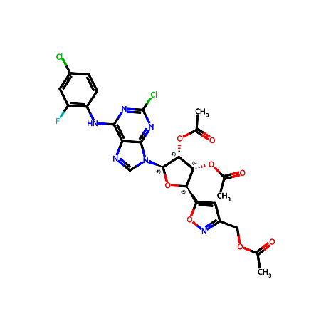 CC(=O)OCc1cc([C@H]2O[C@@H](n3cnc4c(Nc5ccc(Cl)cc5F)nc(Cl)nc43)[C@H](OC(C)=O)[C@@H]2OC(C)=O)on1